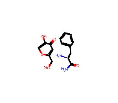 NC(=O)[C@@H](N)Cc1ccccc1.O=c1cc(CO)occ1O